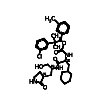 Cc1cccc(C(OC(=O)N[C@@H](CC2CCCCC2)C(=O)N[C@H](CO)C[C@@H]2CCNC2=O)C(C)(C)c2cccc(Cl)c2)c1